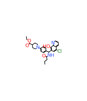 CCCC(=O)NC(c1ccc(N2CCC(C(=O)OCC)CC2)cc1)c1cc(Cl)c2cccnc2c1O